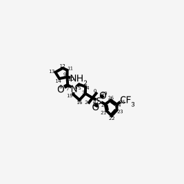 CC(C)(C1CCN(C(=O)C2(N)CCCC2)CC1)S(=O)(=O)c1cccc(C(F)(F)F)c1